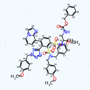 COc1ccc(CN(Cc2ccc(OC)cc2)S(=O)(=O)c2c(S(=O)(=O)NC(C)CNC(=O)OCc3ccccc3)ccc(-c3cccn4ccnc34)c2-c2nnn(Cc3ccc(OC)cc3)n2)cc1